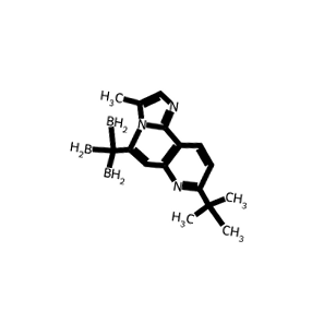 BC(B)(B)c1cc2nc(C(C)(C)C)ccc2c2ncc(C)n12